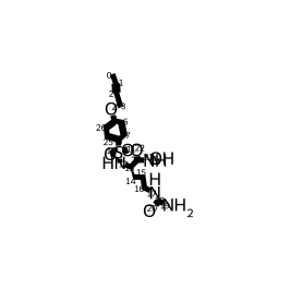 CC#CCOc1ccc(S(=O)(=O)N[C@H](CCCNC(N)=O)C(=O)NO)cc1